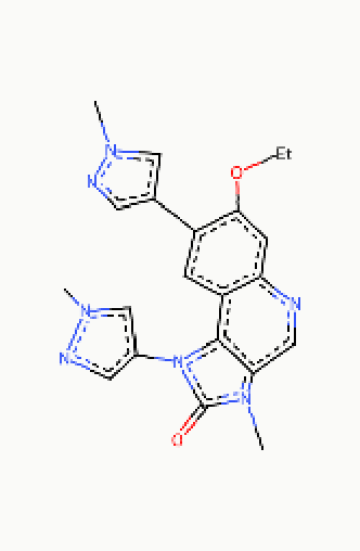 CCOc1cc2ncc3c(c2cc1-c1cnn(C)c1)n(-c1cnn(C)c1)c(=O)n3C